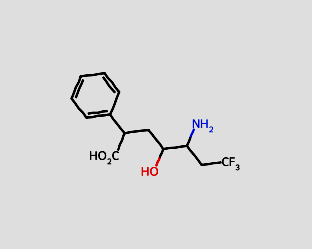 NC(CC(F)(F)F)C(O)CC(C(=O)O)c1ccccc1